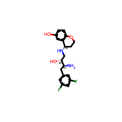 N[C@@H](Cc1cc(F)cc(F)c1)[C@H](O)CN[C@H]1CCOc2ccc(O)cc21